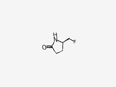 O=C1CC[C@H](CF)N1